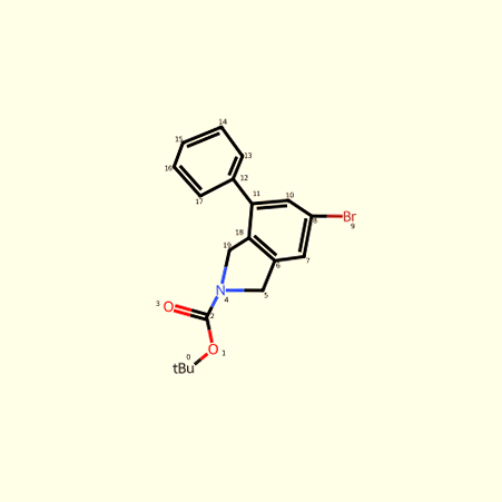 CC(C)(C)OC(=O)N1Cc2cc(Br)cc(-c3ccccc3)c2C1